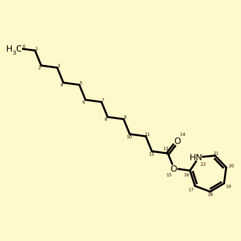 CCCCCCCCCCCCCC(=O)OC1=CC=CC=CN1